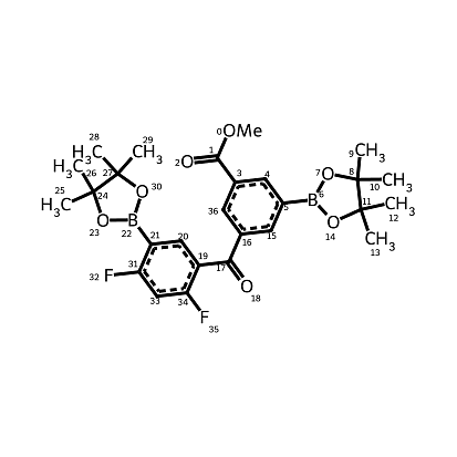 COC(=O)c1cc(B2OC(C)(C)C(C)(C)O2)cc(C(=O)c2cc(B3OC(C)(C)C(C)(C)O3)c(F)cc2F)c1